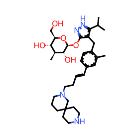 Cc1cc(/C=C/CCN2CCCC3(CCNCC3)C2)ccc1Cc1c(O[C@@H]2O[C@H](CO)[C@@H](O)[C@H](C)[C@H]2O)n[nH]c1C(C)C